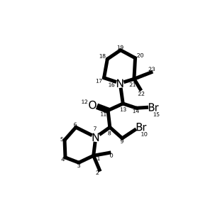 CC1(C)CCCCN1C(CBr)C(=O)C(CBr)N1CCCCC1(C)C